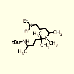 CCN(CCCC(C)N(C)C(C)(C)CCC(C)NC(C)(C)C)C(C)C